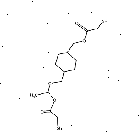 CC(OCC1CCC(COC(=O)CS)CC1)OC(=O)CS